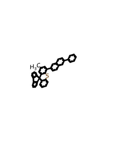 Cc1cc(-c2ccc3cc(-c4ccccc4)ccc3c2)c2c(c1)C1(c3ccccc3S2)c2ccccc2-c2ccccc21